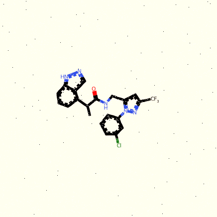 CC(C(=O)NCc1cc(C(F)(F)F)nn1-c1cccc(Cl)c1)c1cccc2[nH]ncc12